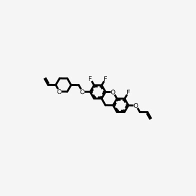 C=CCOc1ccc2c(c1F)Oc1c(cc(OCC3CCC(C=C)OC3)c(F)c1F)C2